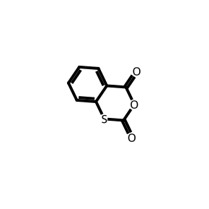 O=c1oc(=O)c2ccccc2s1